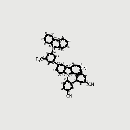 N#Cc1cc(C#N)cc(-c2cc(C#N)ccc2-n2c3ccccc3c3cc(-c4cc(-n5c6ccccc6c6ccccc65)cc(C(F)(F)F)c4)ccc32)c1